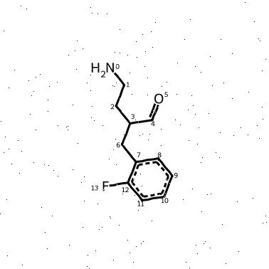 NCCC(C=O)Cc1ccccc1F